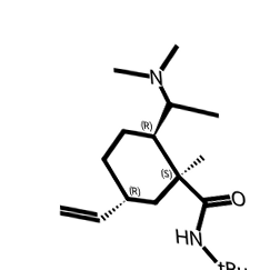 C=C[C@@H]1CC[C@@H](C(C)N(C)C)[C@@](C)(C(=O)NC(C)(C)C)C1